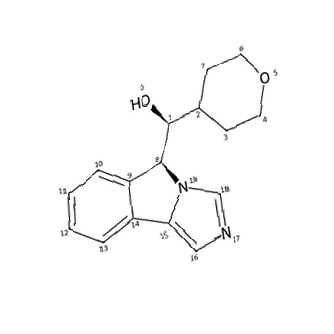 O[C@@H](C1CCOCC1)[C@@H]1c2ccccc2-c2cncn21